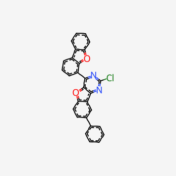 Clc1nc(-c2cccc3c2oc2ccccc23)c2oc3ccc(-c4ccccc4)cc3c2n1